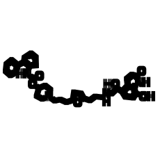 O=C(Nc1ccccc1-c1ccccc1)OC1CCN(CCCc2ccc(CCCNC[C@H](O)c3ccc(O)c4[nH]c(=O)ccc34)o2)CC1